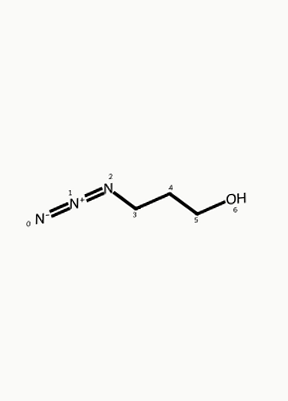 [N-]=[N+]=N[CH]CCO